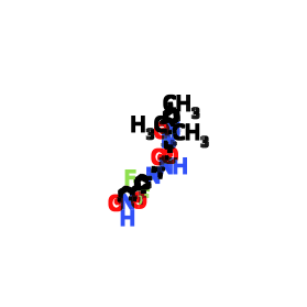 Cc1ccc(N(C)C(=O)N2CC(OC(=O)NC3CN(c4cc(F)c(C5CCC(=O)NC5=O)c(F)c4)C3)C2)c(C)c1